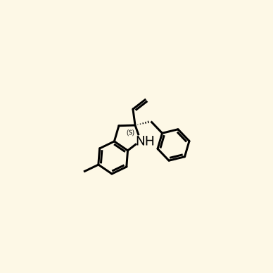 C=C[C@]1(Cc2ccccc2)Cc2cc(C)ccc2N1